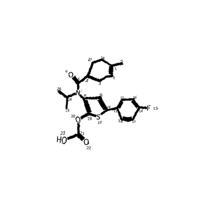 CC1=CCC(C(=O)N(c2cc(-c3ccc(F)cc3)sc2OC(=O)O)C(C)C)CC1